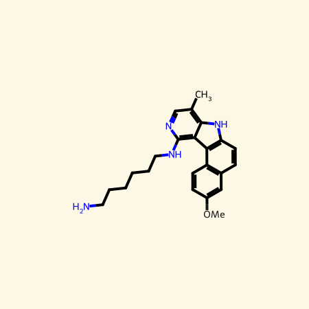 COc1ccc2c(ccc3[nH]c4c(C)cnc(NCCCCCCN)c4c32)c1